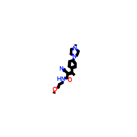 COCCCNC(=O)/C(C#N)=C(\C)c1ccc(N2CCN(C)CC2)cc1